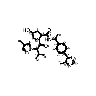 Cc1cnn(C(C(=O)N2CC(O)CC2C(=O)NC(C)c2ccc(-c3ocnc3C)cc2)C(C)C)c1